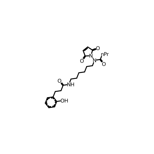 CCCC(=O)N(CCCCCCNC(=O)CCc1ccccc1O)N1C(=O)C=CC1=O